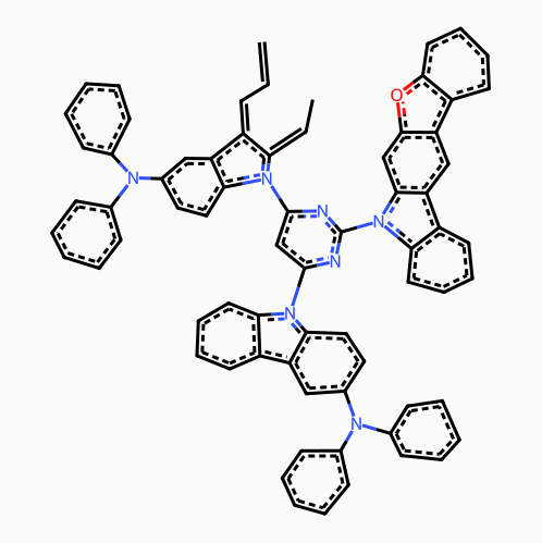 C=C/C=c1\c(=C/C)n(-c2cc(-n3c4ccccc4c4cc(N(c5ccccc5)c5ccccc5)ccc43)nc(-n3c4ccccc4c4cc5c(cc43)oc3ccccc35)n2)c2ccc(N(c3ccccc3)c3ccccc3)cc12